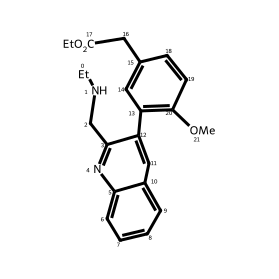 CCNCc1nc2ccccc2cc1-c1cc(CC(=O)OCC)ccc1OC